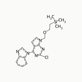 C[Si](C)(C)CCOCn1ccc2c(-n3cnc4ccccc43)nc(Cl)nc21